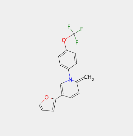 C=C1C=CC(c2ccco2)=CN1c1ccc(OC(F)(F)F)cc1